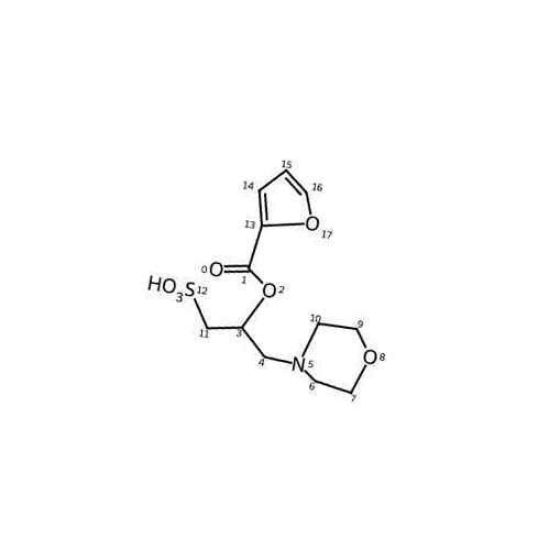 O=C(OC(CN1CCOCC1)CS(=O)(=O)O)c1ccco1